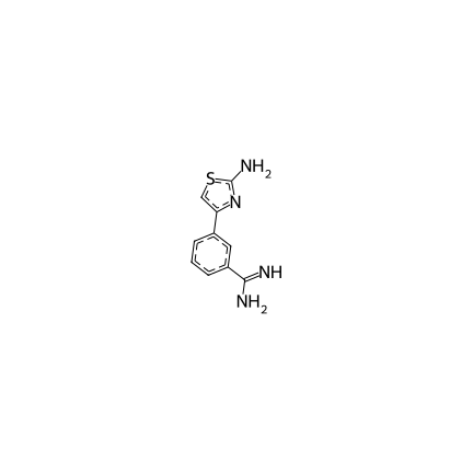 N=C(N)c1cccc(-c2csc(N)n2)c1